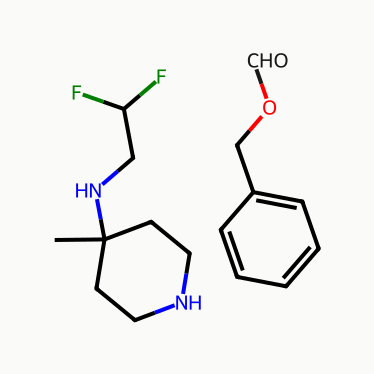 CC1(NCC(F)F)CCNCC1.O=COCc1ccccc1